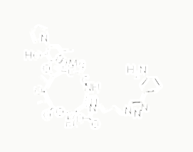 CC[C@H]1OC(=O)[C@H](C)C(=O)[C@H](C)[C@@H](O[C@@H]2OC(C)CC(N3CCCC3)C2O)[C@](C)(OC)C[C@@H](C)CN[C@H](C)[C@H]2N(CCCCn3cc(-c4cccc(N)c4)nn3)C(=O)O[C@]12C